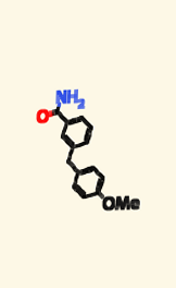 COc1ccc(Cc2cccc(C(N)=O)c2)cc1